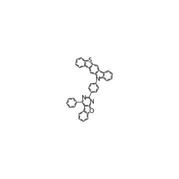 c1ccc(-c2nc(-c3ccc(-n4c5ccccc5c5cc6sc7ccccc7c6cc54)cc3)nc3oc4ccccc4c23)cc1